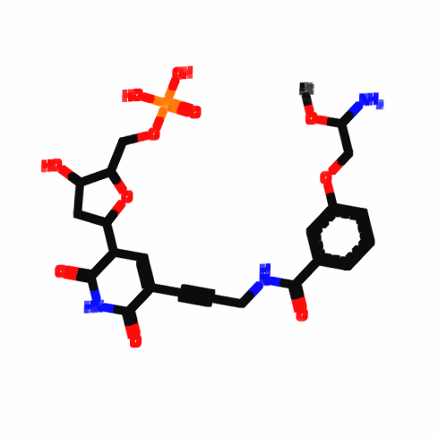 CCOC(N)COc1cccc(C(=O)NCC#CC2=CC(C3CC(O)C(COP(=O)(O)O)O3)C(=O)NC2=O)c1